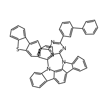 c1ccc(-c2cccc(-c3nc(-c4ccc5sc6ccccc6c5c4)nc(-n4c5ccccc5c5ccc6c7ccccc7n(-c7ccccc7)c6c54)n3)c2)cc1